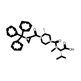 CC(C)[C@@H](C(=O)O)N(C)C(=O)N1CCN(C(=O)C2CN2C(c2ccccc2)(c2ccccc2)c2ccccc2)[C@H](C)C1